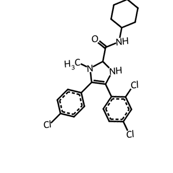 CN1C(c2ccc(Cl)cc2)=C(c2ccc(Cl)cc2Cl)NC1C(=O)NC1CCCCC1